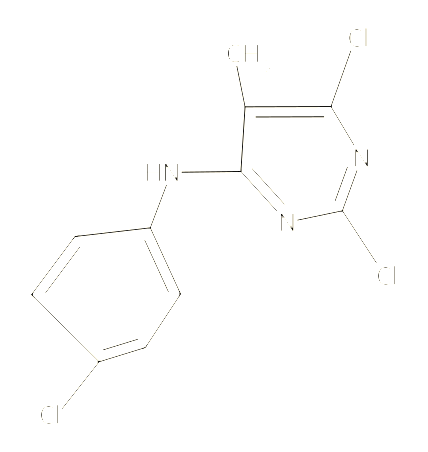 Cc1c(Cl)nc(Cl)nc1Nc1ccc(Cl)cc1